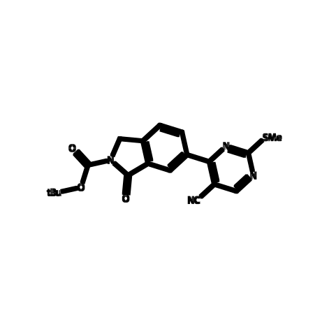 CSc1ncc(C#N)c(-c2ccc3c(c2)C(=O)N(C(=O)OC(C)(C)C)C3)n1